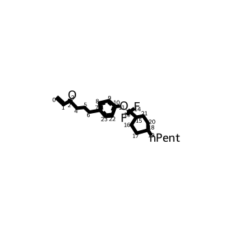 C=CC(=O)CCCc1ccc(OC(F)(F)C2CCC(CCCCC)CC2)cc1